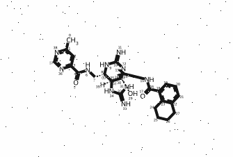 Cc1cc(C(=O)NC[C@@H]2NC(=N)N3CC(NC(=O)c4cccc5c4CCCC5)[C@@H](O)[C@@]34NC(=N)N[C@@H]24)ncn1